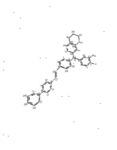 Cc1ccc(N(c2ccc(/C=C/c3ccc(-c4ccccc4)cc3)cc2)c2ccc3c(c2)CCCC3)cc1C